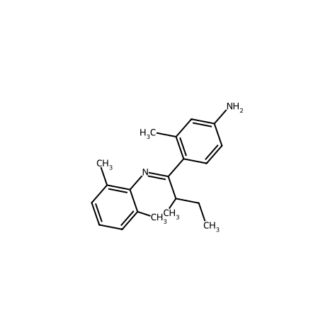 CCC(C)/C(=N\c1c(C)cccc1C)c1ccc(N)cc1C